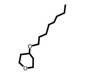 CCCCCCCCOC1CCOCC1